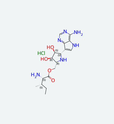 CC[C@H](C)[C@H](N)C(=O)OC[C@H]1N[C@@H](c2c[nH]c3c(N)ncnc23)[C@H](O)[C@@H]1O.Cl